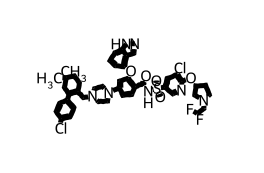 CC1(C)CCC(CN2CCN(c3ccc(C(=O)NS(=O)(=O)c4cnc(O[C@@H]5CCN(CC(F)F)C5)c(Cl)c4)c(Oc4cccc5[nH]ncc45)c3)CC2)=C(c2ccc(Cl)cc2)C1